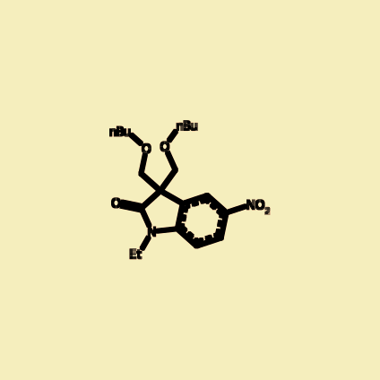 CCCCOCC1(COCCCC)C(=O)N(CC)c2ccc([N+](=O)[O-])cc21